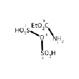 CCOC(N)=O.O=S(=O)(O)OS(=O)(=O)O